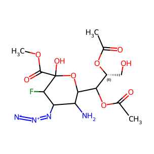 COC(=O)C1(O)OC(C(OC(C)=O)[C@@H](CO)OC(C)=O)C(N)C(N=[N+]=[N-])C1F